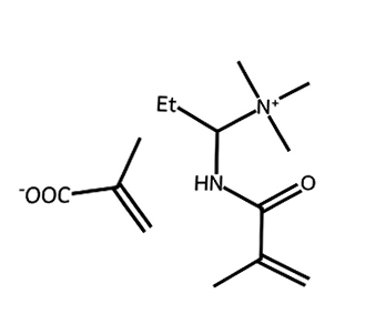 C=C(C)C(=O)NC(CC)[N+](C)(C)C.C=C(C)C(=O)[O-]